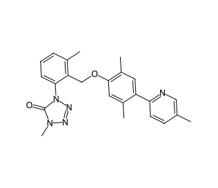 Cc1ccc(-c2cc(C)c(OCc3c(C)cccc3-n3nnn(C)c3=O)cc2C)nc1